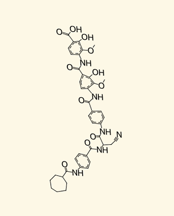 COc1c(NC(=O)c2ccc(NC(=O)c3ccc(NC(=O)C(CC#N)NC(=O)c4ccc(NC(=O)C5CCCCCC5)cc4)cc3)c(OC)c2O)ccc(C(=O)O)c1O